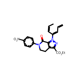 C=C/C=C(\C=C/C)n1nc(C(=O)OCC)c2c1C(=O)N(c1ccc([N+](=O)[O-])cc1)CC2